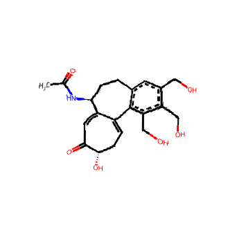 CC(=O)N[C@H]1CCc2cc(CO)c(CO)c(CO)c2C2=CC[C@H](O)C(=O)C=C21